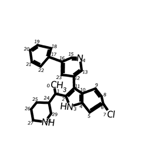 CC(c1[nH]c2cc(Cl)ccc2c1-c1cncc(-c2ccccc2)c1)C1CCCNC1